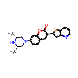 C[C@@H]1CN(c2ccc3cc(-c4cc5ncccc5s4)c(=O)oc3c2)C[C@H](C)N1